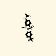 COc1cc(NC(C)=O)ccc1S(=O)(=O)Nc1cccc(C(F)(F)F)c1